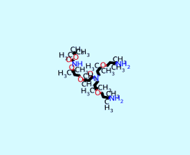 CC(C)(N)CCOC(C)(C)CCN(CCC(C)(C)OCCC(C)(C)N)C(=O)CC(C)(C)OCCC(C)(C)ONC(=O)OC(C)(C)C